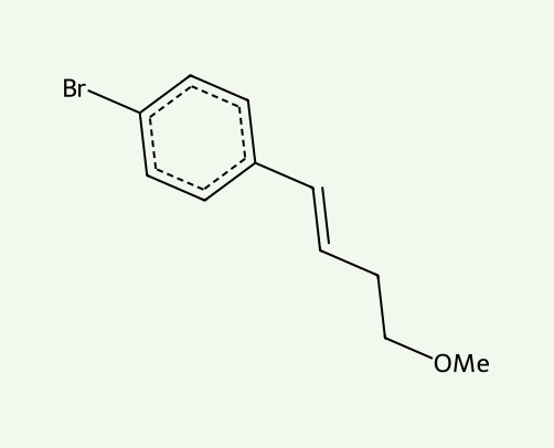 COCCC=Cc1ccc(Br)cc1